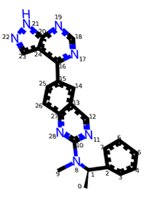 C[C@H](c1ccccc1)N(C)c1ncc2cc(-c3ncnc4[nH]ncc34)ccc2n1